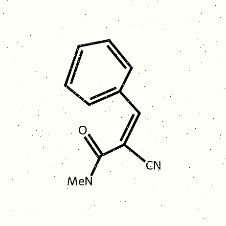 CNC(=O)C(C#N)=Cc1ccccc1